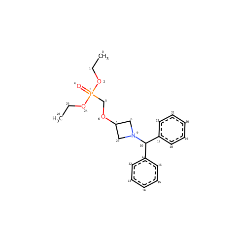 CCOP(=O)(COC1CN(C(c2ccccc2)c2ccccc2)C1)OCC